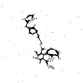 COC(=O)C1=C(C)NC(C)=C(C(=O)OCC=Cc2ccc(Cc3ncc[nH]3)cc2)C1c1cccc(Cl)c1Cl